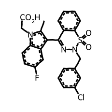 Cc1c(C2=NN(Cc3cccc(Cl)c3)S(=O)(=O)c3ccccc32)c2cc(F)ccc2n1CC(=O)O